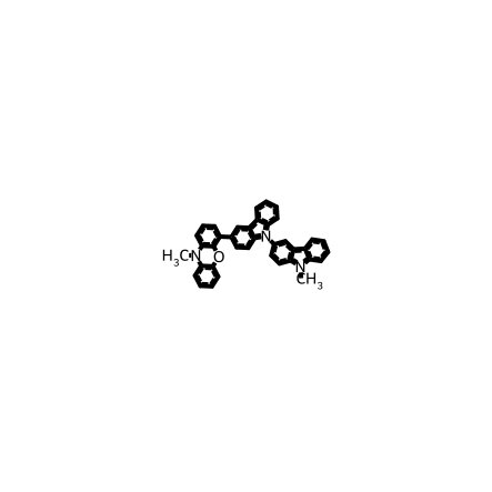 CN1c2ccccc2Oc2c(-c3ccc4c(c3)c3ccccc3n4-c3ccc4c(c3)c3ccccc3n4C)cccc21